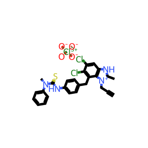 C#CC[n+]1c(C)[nH]c2cc(Cl)c(Cl)c(Cc3ccc(NC(=S)N(C)c4ccccc4)cc3)c21.[O-][Cl+3]([O-])([O-])[O-]